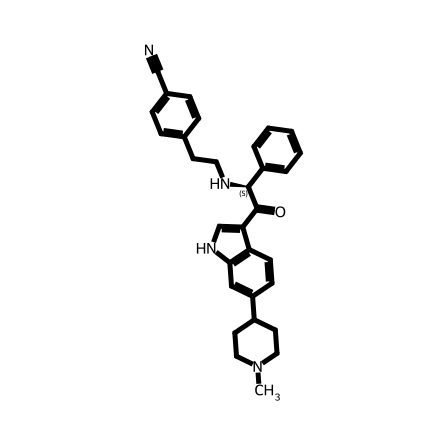 CN1CCC(c2ccc3c(C(=O)[C@@H](NCCc4ccc(C#N)cc4)c4ccccc4)c[nH]c3c2)CC1